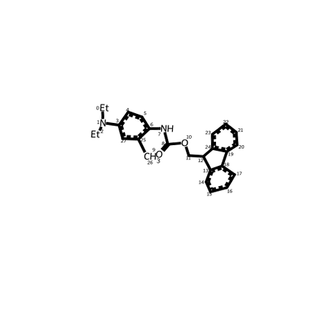 CCN(CC)c1ccc(NC(=O)OCC2c3ccccc3-c3ccccc32)c(C)c1